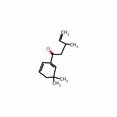 C=CC(C)CC(=O)C1=CC(C)(C)CC=C1